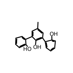 Cc1cc(-c2ccccc2O)c(O)c(-c2ccccc2O)c1